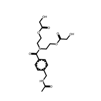 CC(=O)NCc1ccc(C(=O)N(CCOC(=O)CO)CCOC(=O)CO)cc1